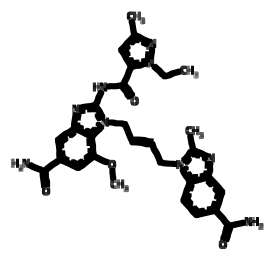 CCn1nc(C)cc1C(=O)Nc1nc2cc(C(N)=O)cc(OC)c2n1C/C=C/Cn1c(C)nc2cc(C(N)=O)ccc21